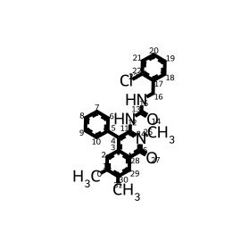 Cc1cc2c(-c3ccccc3)c(NC(=O)NCc3ccccc3Cl)n(C)c(=O)c2cc1C